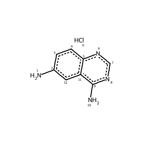 Cl.Nc1ccc2ncnc(N)c2c1